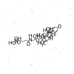 C[C@H]1C[C@H]2[C@@H]3CCC4=CC(=O)C=C[C@]4(C)[C@@]3(F)[C@@H](O)C[C@]2(C)[C@@]1(O)C(=O)COC(=O)CNC(=O)CCCON(O)O